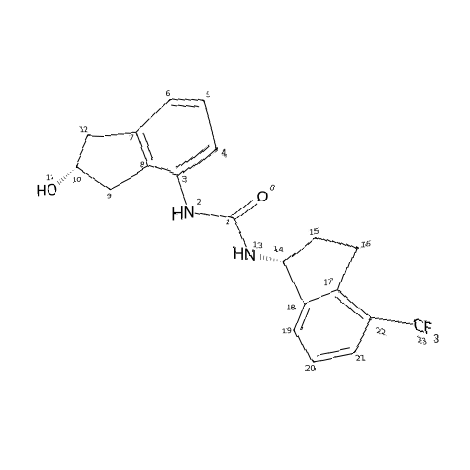 O=C(Nc1cccc2c1C[C@H](O)C2)N[C@@H]1CCc2c1cccc2C(F)(F)F